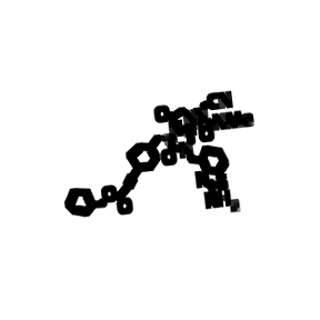 CNC(=O)N(CC#N)N1CC(=O)N2[C@@H](Cc3ccc(C#CC(=O)OCc4ccccc4)cc3)C(=O)N(Cc3cccc4sc(N)nc34)C[C@@H]21